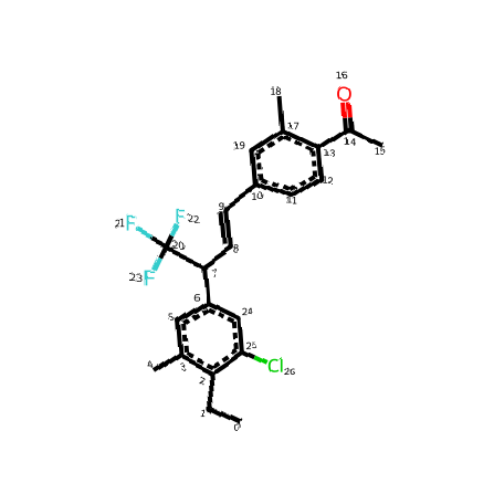 CCc1c(C)cc(C(/C=C/c2ccc(C(C)=O)c(C)c2)C(F)(F)F)cc1Cl